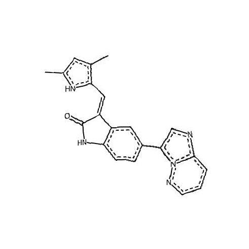 Cc1cc(C)c(/C=C2\C(=O)Nc3ccc(-c4cnc5cccnn45)cc32)[nH]1